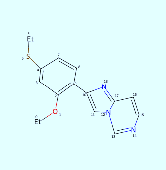 CCOc1cc(SCC)ccc1-c1cn2cnccc2n1